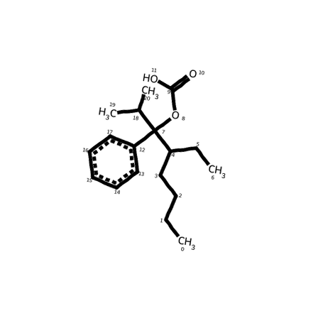 CCCCC(CC)C(OC(=O)O)(c1ccccc1)C(C)C